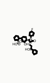 O=C1[C@H](CC[C@H](O)c2ccccc2)[C@@H](c2ccc(-c3ccccc3P(=O)(O)O)cc2O)N1c1ccc(F)cc1